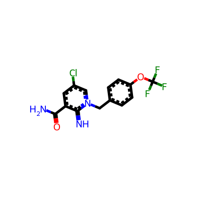 N=c1c(C(N)=O)cc(Cl)cn1Cc1ccc(OC(F)(F)F)cc1